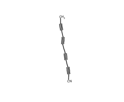 CC#CC#CC#CC#CC#N